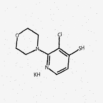 Sc1ccnc(N2CCOCC2)c1Cl.[KH]